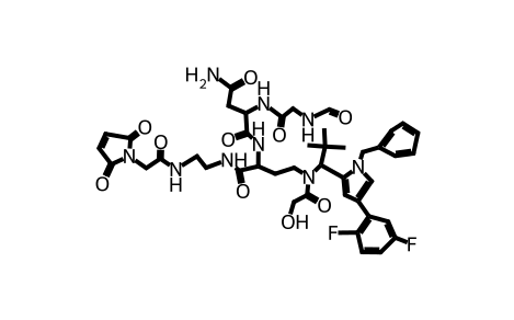 CC(C)(C)C(c1cc(-c2cc(F)ccc2F)cn1Cc1ccccc1)N(CCC(NC(=O)C(CC(N)=O)NC(=O)CNC=O)C(=O)NCCNC(=O)CN1C(=O)C=CC1=O)C(=O)CO